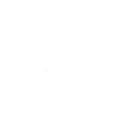 COc1ccc(CN2Cc3c(Cl)c(C)cc(C)c3C2=O)cc1